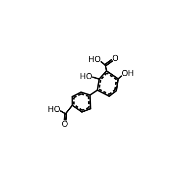 O=C(O)c1ccc(-c2ccc(O)c(C(=O)O)c2O)cc1